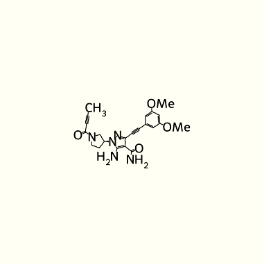 CC#CC(=O)N1CC[C@H](n2nc(C#Cc3cc(OC)cc(OC)c3)c(C(N)=O)c2N)C1